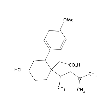 COc1ccc(C2CCCCC2(CC(=O)O)C(C)CN(C)C)cc1.Cl